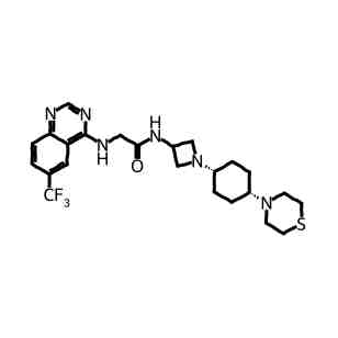 O=C(CNc1ncnc2ccc(C(F)(F)F)cc12)NC1CN([C@H]2CC[C@@H](N3CCSCC3)CC2)C1